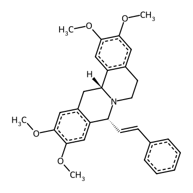 COc1cc2c(cc1OC)[C@@H](/C=C/c1ccccc1)N1CCc3cc(OC)c(OC)cc3[C@H]1C2